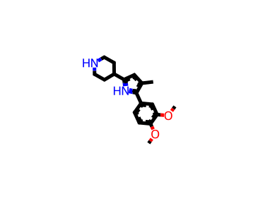 COc1ccc(-c2[nH]c(C3CCNCC3)cc2C)cc1OC